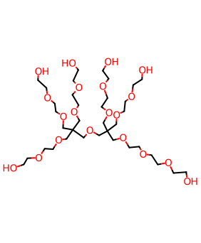 OCCOCCOCCOCC(COCCOCCO)(COCCOCCO)COCC(COCCOCCO)(COCCOCCO)COCCOCCO